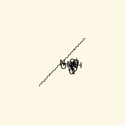 CCCCCCCCC=CCCCCCCCCN(CCCCCCCCC=CCCCCCCCC)C(=O)CCNC(=NC(=O)OC(C)(C)C)NC(=O)OC(C)(C)C